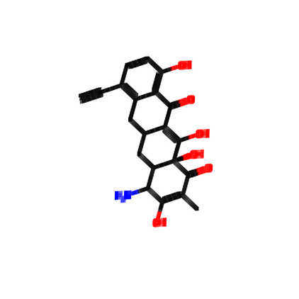 C#Cc1ccc(O)c2c1CC1CC3C(N)C(O)=C(C)C(=O)[C@@]3(O)C(O)=C1C2=O